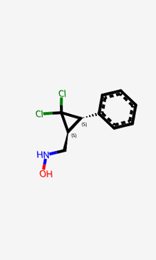 ONC[C@@H]1[C@@H](c2ccccc2)C1(Cl)Cl